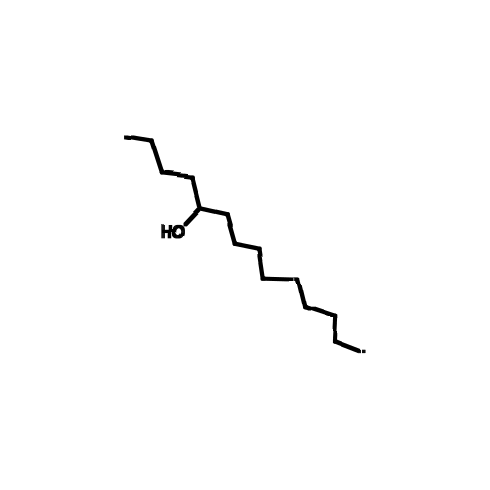 [CH2]CCCCCCCCC(O)CCCC